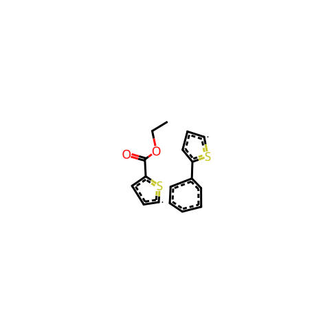 CCOC(=O)c1cc[c]s1.[c]1ccc(-c2ccccc2)s1